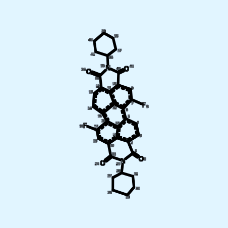 O=C1c2ccc3c4c(F)cc5c6c(ccc(c7c(F)cc(c2c37)C(=O)N1C1CCCCC1)c64)C(=O)N(C1CCCCC1)C5=O